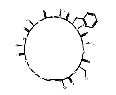 CCC(C)C1NC(=O)CN(C)C(=O)[C@@H](Cc2ccccc2)N(C)C(=O)[C@H](C)NC(=O)[C@@H](CC(C)C)OC(=O)/C(C)=C/CCCCOC(=O)[C@@H](CC)NC1=O